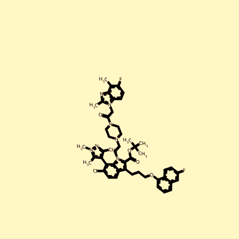 Cc1nn(C)c(C)c1-c1c(Cl)ccc2c(CCCOc3cccc4cc(F)ccc34)c(C(=O)OC(C)(C)C)n(CCN3CCN(C(=O)Cn4c(C)nc5c(C)c(F)ccc54)CC3)c12